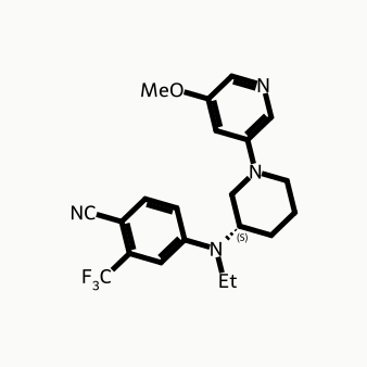 CCN(c1ccc(C#N)c(C(F)(F)F)c1)[C@H]1CCCN(c2cncc(OC)c2)C1